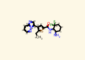 CCc1sc(C(=O)NC2C(N)CCCC2(F)F)cc1-c1cnc2cccnn12